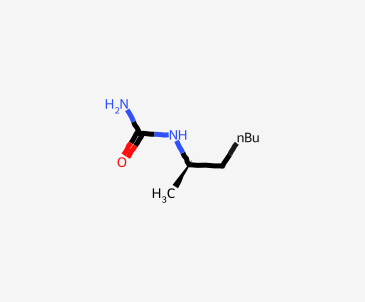 CCCCC[C@@H](C)NC(N)=O